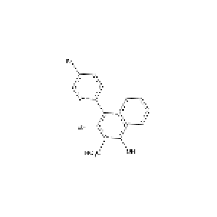 CCc1c(C(=O)O)c(O)c2ccccc2c1-c1ccc(Br)cc1